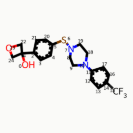 OC1(c2ccc(SN3CCN(c4ccc(C(F)(F)F)cc4)CC3)cc2)COC1